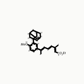 CCOC(=O)C=C(C)C=CC=C(C)c1ccc(OC)c(C23CC4CC(CC(C4)C2)C3)c1